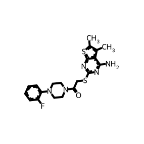 Cc1sc2nc(SCC(=O)N3CCN(c4ccccc4F)CC3)nc(N)c2c1C